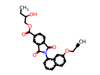 C#CCOc1ccc2cccc(N3C(=O)c4ccc(C(=O)OCC(O)CC)cc4C3=O)c2c1